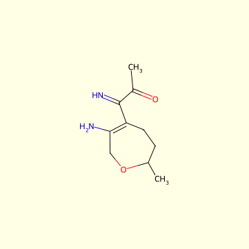 CC(=O)C(=N)C1=C(N)COC(C)CC1